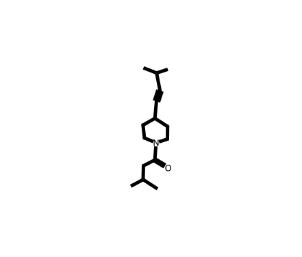 CC(C)C#CC1CCN(C(=O)CC(C)C)CC1